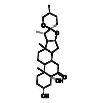 CC1CC[C@]2(OC1)OC1CC3C4CC(=O)[C@@]5(O)CC(O)CCC5(C)C4CCC3(C)C1[C@@H]2C